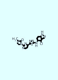 CN1CCN(c2nccc(-c3nnc(Nc4ccc5[nH]ncc5c4Cl)s3)n2)C1=O